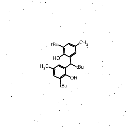 Cc1cc(C(c2cc(C)cc(C(C)(C)C)c2O)C(C)(C)C)c(O)c(C(C)(C)C)c1